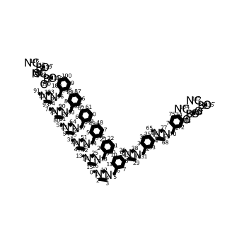 Cn1cc[n+](Cc2ccccc2)c1.Cn1cc[n+](Cc2ccccc2)c1.Cn1cc[n+](Cc2ccccc2)c1.Cn1cc[n+](Cc2ccccc2)c1.Cn1cc[n+](Cc2ccccc2)c1.Cn1cc[n+](Cc2ccccc2)c1.Cn1cc[n+](Cc2ccccc2)c1.Cn1cc[n+](Cc2ccccc2)c1.N#CB([O-])[O-].N#CB([O-])[O-].N#CB([O-])[O-].N#CB([O-])[O-]